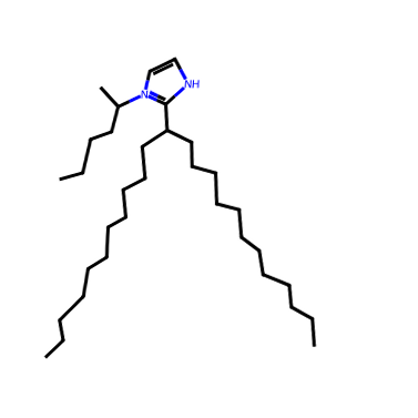 CCCCCCCCCCCCC(CCCCCCCCCCC)c1[nH]cc[n+]1C(C)CCCC